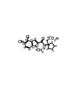 Cn1c(C(=O)NC2(CC(=O)O)CCCC2)cc2c(Cl)c(Cl)ccc21